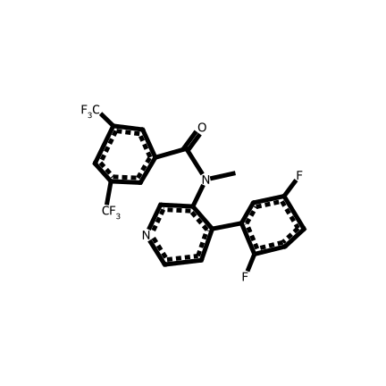 CN(C(=O)c1cc(C(F)(F)F)cc(C(F)(F)F)c1)c1cnccc1-c1cc(F)ccc1F